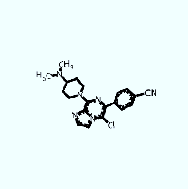 CN(C)C1CCN(c2nc(-c3ccc(C#N)cc3)c(Cl)n3ccnc23)CC1